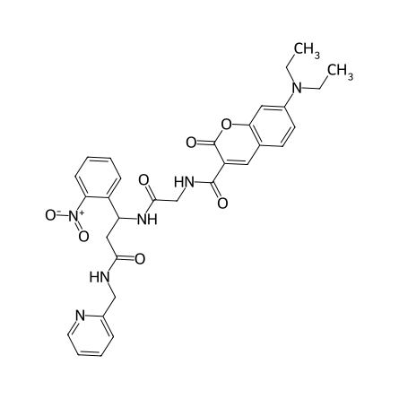 CCN(CC)c1ccc2cc(C(=O)NCC(=O)NC(CC(=O)NCc3ccccn3)c3ccccc3[N+](=O)[O-])c(=O)oc2c1